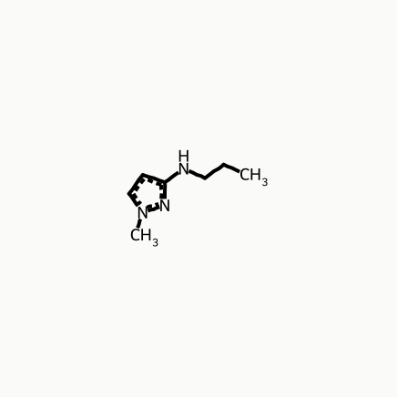 CCCNc1ccn(C)n1